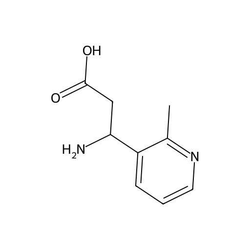 Cc1ncccc1C(N)CC(=O)O